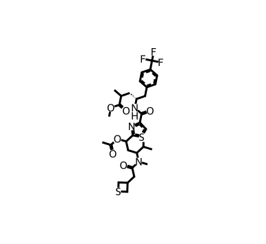 COC(=O)C(C)C[C@H](Cc1ccc(C(F)(F)F)cc1)NC(=O)c1csc(C(CC(C(C)C)N(C)C(=O)CC2CSC2)OC(C)=O)n1